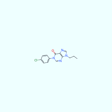 CCCn1cnc2c(=O)n(-c3ccc(Cl)cc3)cnc21